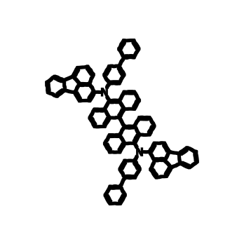 c1ccc(-c2ccc(N(c3c4ccccc4c(-c4c5ccccc5c(N(c5ccc(-c6ccccc6)cc5)c5ccc6c7c(cccc57)-c5ccccc5-6)c5ccccc45)c4ccccc34)c3ccc4c5c(cccc35)-c3ccccc3-4)cc2)cc1